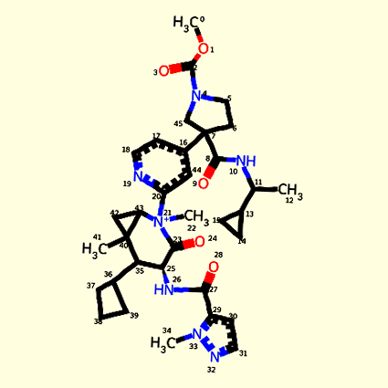 COC(=O)N1CCC(C(=O)NC(C)C2CC2)(c2ccnc([N+]3(C)C(=O)[C@@H](NC(=O)c4ccnn4C)C(C4CCC4)C4(C)CC43)c2)C1